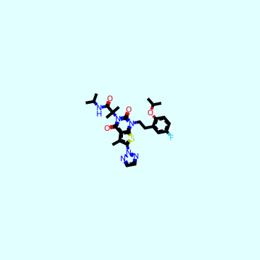 Cc1c(-n2nccn2)sc2c1c(=O)n(C(C)(C)C(=O)NC(C)C)c(=O)n2CCc1cc(F)ccc1OC(C)C